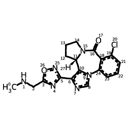 CNCc1nc(-c2ncn3c2[C@@H]2CCCN2C(=O)c2c(Cl)cccc2-3)no1